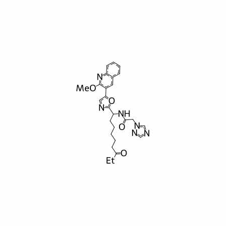 CCC(=O)CCCCCC(NC(=O)Cn1cncn1)c1ncc(-c2cc3ccccc3nc2OC)o1